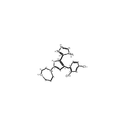 Clc1ccc(-c2cc(N3CCCOCC3)sc2-c2nnc[nH]2)c(Cl)c1